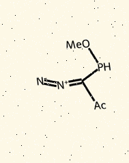 COPC(=[N+]=[N-])C(C)=O